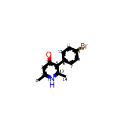 Cc1cc(=O)c(-c2ccc(Br)cc2)c(C)[nH]1